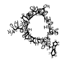 CC(C)C1NC(=O)C(C(C)NC(=O)OCC2c3ccccc3-c3ccccc32)CC(=O)CNC(=O)C(COC=O)NC(=O)CNC(=O)C(CC(=O)O)NC(=O)C(C(C)C(=O)O)CC(=O)C2CCCCN2C(=O)C(NC(=O)C(N)CC(N)=O)[C@@H](C)NC(=O)C2CCCN2C1=O